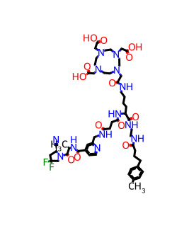 Cc1ccc(CCCC(=O)NCCNC(=O)C(CCCCNC(=O)CN2CCN(CC(=O)O)CCN(CC(=O)O)CCN(CC(=O)O)CC2)NC(=O)CCC(=O)NCc2cc(C(=O)N[C@H](C)C(=O)N3CC(F)(F)C[C@H]3C#N)ccn2)cc1